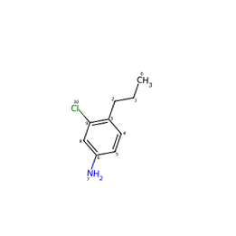 CCCc1ccc(N)cc1Cl